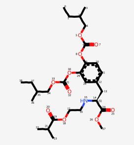 CCC(C)COC(=O)Oc1ccc(C[C@H](NCCOC(=O)C(C)C)C(=O)OC)cc1OC(=O)OCC(C)CC